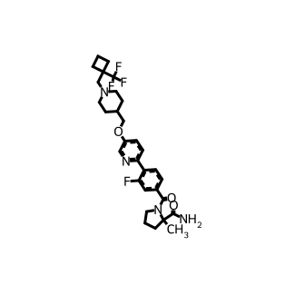 CC1(C(N)=O)CCCN1C(=O)c1ccc(-c2ccc(OCC3CCN(CC4(C(F)(F)F)CCC4)CC3)cn2)c(F)c1